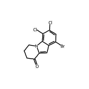 O=C1CCCn2c1cc1c(Br)cc(Cl)c(Cl)c12